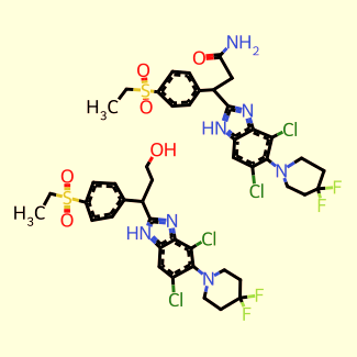 CCS(=O)(=O)c1ccc(C(CC(N)=O)c2nc3c(Cl)c(N4CCC(F)(F)CC4)c(Cl)cc3[nH]2)cc1.CCS(=O)(=O)c1ccc(C(CCO)c2nc3c(Cl)c(N4CCC(F)(F)CC4)c(Cl)cc3[nH]2)cc1